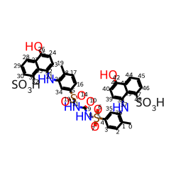 Cc1ccc(S(=O)(=O)NC(=O)NS(=O)(=O)c2ccc(C)c(Nc3ccc(O)c4cccc(S(=O)(=O)O)c34)c2)cc1Nc1ccc(O)c2cccc(S(=O)(=O)O)c12